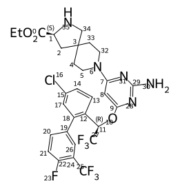 CCOC(=O)[C@@H]1CC2(CCN(c3cc(O[C@H](c4ccc(Cl)cc4-c4ccc(F)c(C(F)(F)F)c4)C(F)(F)F)nc(N)n3)CC2)CN1